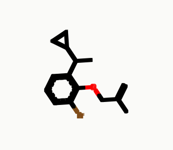 C=C(C)COc1c(Br)cccc1C(C)C1CC1